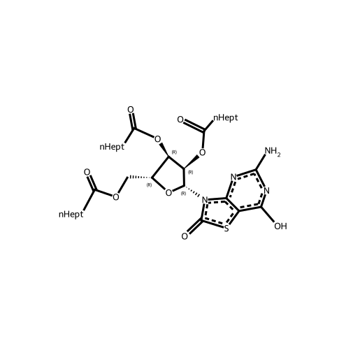 CCCCCCCC(=O)OC[C@H]1O[C@@H](n2c(=O)sc3c(O)nc(N)nc32)[C@H](OC(=O)CCCCCCC)[C@@H]1OC(=O)CCCCCCC